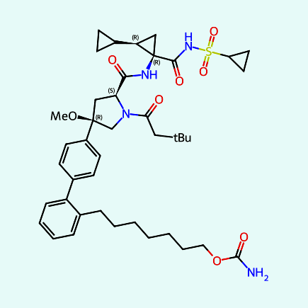 CO[C@@]1(c2ccc(-c3ccccc3CCCCCCCOC(N)=O)cc2)C[C@@H](C(=O)N[C@]2(C(=O)NS(=O)(=O)C3CC3)C[C@@H]2C2CC2)N(C(=O)CC(C)(C)C)C1